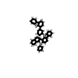 c1ccc(-n2c3ccc4c5ccccc5n(-c5cccc(-c6cccc7c6sc6ccccc67)c5)c4c3c3ccc4ccccc4c32)cc1